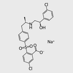 C[C@H](Cc1ccc(S(=O)(=O)c2ccc(Cl)cc2C(=O)[O-])cc1)NC[C@H](O)c1cccc(Cl)c1.[Na+]